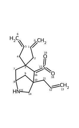 C=CCC1(CC=C)CC2CC(CC=C)(CN2)C1=S(=O)=O